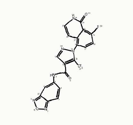 O=C(Nc1ccc2nonc2c1)c1cnn(-c2ccc(F)c3c(=O)[nH]ccc23)c1C(F)(F)F